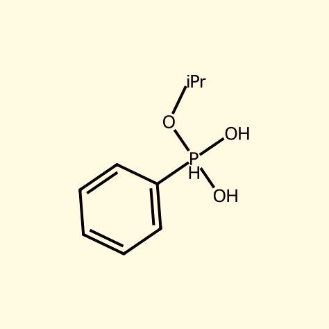 CC(C)O[PH](O)(O)c1ccccc1